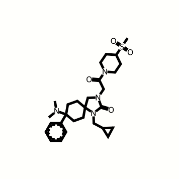 CN(C)C1(c2ccccc2)CCC2(CC1)CN(CC(=O)N1CCC(S(C)(=O)=O)CC1)C(=O)N2CC1CC1